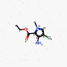 CCOC(=O)c1c(N)c(Cl)cn1C